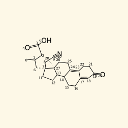 CC(CC(=O)O)C[C@@]1(CC#N)CCC2C3CCC4=CC(=O)CCC4=C3CC[C@@]21C